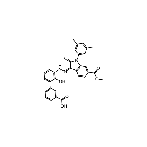 COC(=O)c1ccc2c(c1)N(c1cc(C)cc(C)c1)C(=O)/C2=N\Nc1cccc(-c2cccc(C(=O)O)c2)c1O